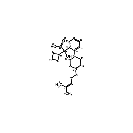 CC(C)=CCCN1CCC(c2ccccc2C(O)(C(=O)O)C2CCC2)CC1